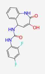 O=C(Nc1ccc(F)cc1F)NC1C=C(O)C(=O)Nc2ccccc21